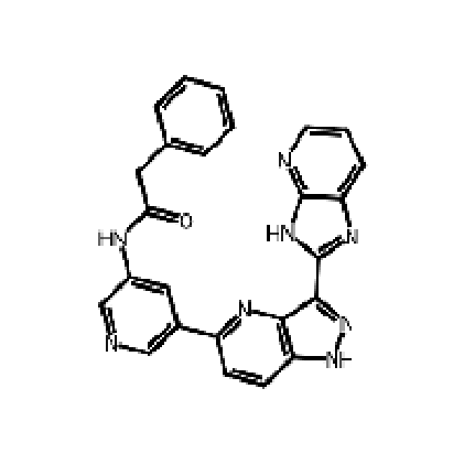 O=C(Cc1ccccc1)Nc1cncc(-c2ccc3[nH]nc(-c4nc5cccnc5[nH]4)c3n2)c1